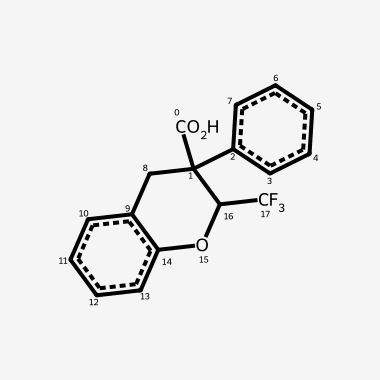 O=C(O)C1(c2ccccc2)Cc2ccccc2OC1C(F)(F)F